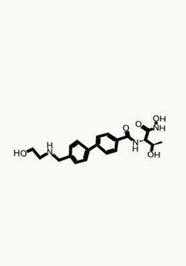 C[C@@H](O)[C@H](NC(=O)c1ccc(-c2ccc(CNCCO)cc2)cc1)C(=O)NO